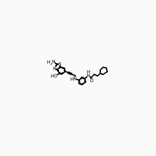 Nc1nc2c(O)cc(C#CCNc3cccc(NC(=O)CCC4CCCCC4)c3)cc2s1